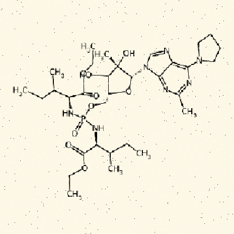 CCOC(=O)[C@@H](NP(=O)(N[C@H](C(=O)OCC)C(C)CC)OC[C@H]1O[C@@H](n2cnc3c(N4CCCC4)nc(C)nc32)[C@@](C)(O)C1O)C(C)CC